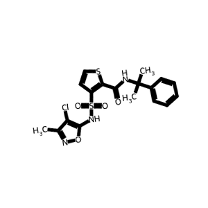 Cc1noc(NS(=O)(=O)c2ccsc2C(=O)NC(C)(C)c2ccccc2)c1Cl